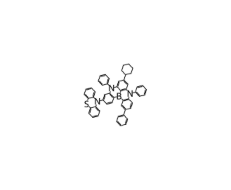 c1ccc(-c2ccc3c(c2)B2c4ccc(N5c6ccccc6Sc6ccccc65)cc4N(c4ccccc4)c4cc(C5CCCCC5)cc(c42)N3c2ccccc2)cc1